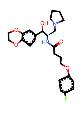 O=C(CCCOc1ccc(F)cc1)N[C@H](CN1CCCC1)[C@H](O)c1ccc2c(c1)OCCO2